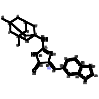 CC12CC3CC(C)(C1)CC(NC1=N/C(=C\c4ccc5ncsc5c4)C(=O)N1)(C3)C2